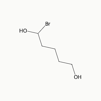 OCCCCC(O)Br